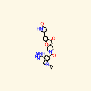 O=C1CC2(CCN(C(=O)c3cc(-c4nnn[nH]4)c4ccn(C5CC5)c4c3)CC2)Oc2ccc(-c3ccc(=O)[nH]c3)cc21